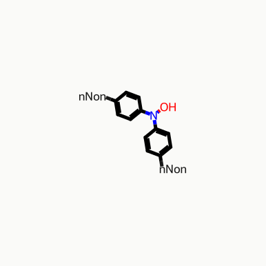 CCCCCCCCCc1ccc(N(O)c2ccc(CCCCCCCCC)cc2)cc1